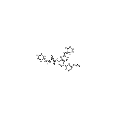 COc1cccc(-c2ccc(CNC(=O)C3CC3c3ccccc3)c3c2CCN(Cc2ccccc2)C3)c1